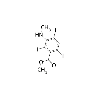 CNc1c(I)cc(I)c(C(=O)OC)c1I